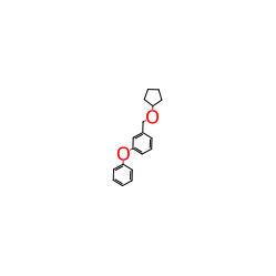 c1ccc(Oc2cccc(COC3CCCC3)c2)cc1